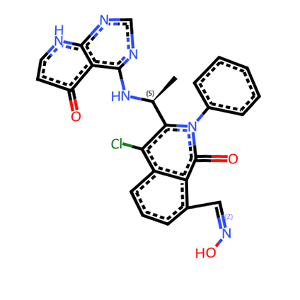 C[C@H](Nc1ncnc2[nH]ccc(=O)c12)c1c(Cl)c2cccc(/C=N\O)c2c(=O)n1-c1ccccc1